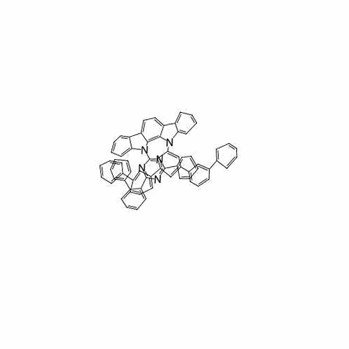 c1ccc(-c2cccc(-c3cc(-c4cccc(-c5ccccc5)c4)cc(-n4c5ccccc5c5ccc6c7ccccc7n(-c7nc(-c8ccccc8)nc(-c8ccccc8-c8ccccc8)n7)c6c54)c3)c2)cc1